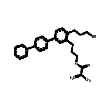 C=C(C)C(=O)OCCCc1cc(-c2ccc(-c3ccccc3)cc2)ccc1CCCO